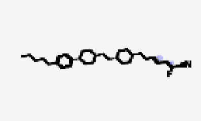 CCCCCc1ccc([C@H]2CC[C@H](CC[C@H]3CC[C@H](CC/C=C/C=C(\F)C#N)CC3)CC2)cc1